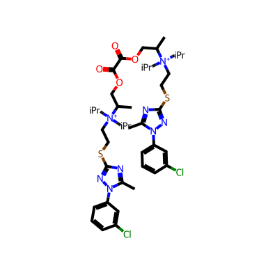 Cc1nc(SCC[N+](C(C)C)(C(C)C)C(C)COC(=O)C(=O)OCC(C)[N+](CCSc2nc(C)n(-c3cccc(Cl)c3)n2)(C(C)C)C(C)C)nn1-c1cccc(Cl)c1